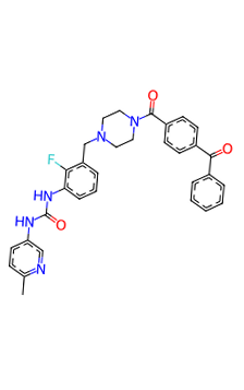 Cc1ccc(NC(=O)Nc2cccc(CN3CCN(C(=O)c4ccc(C(=O)c5ccccc5)cc4)CC3)c2F)cn1